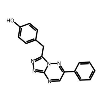 Oc1ccc(Cc2nnc3ncc(-c4ccccc4)nn23)cc1